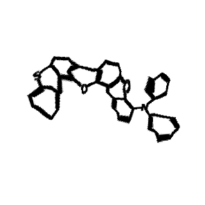 c1ccc(N(c2ccccc2)c2cccc3c2oc2ccc4c5ccc6sc7ccccc7c6c5oc4c23)cc1